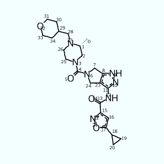 C[C@@H]1CN(C(=O)N2Cc3[nH]nc(NC(=O)c4cc(C5CC5)on4)c3C2)CCN1CC1CCOCC1